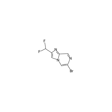 FC(F)c1cn2cc(Br)ncc2n1